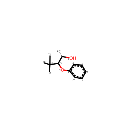 [CH2][C@H](O)C(Oc1ccccc1)C(C)(C)C